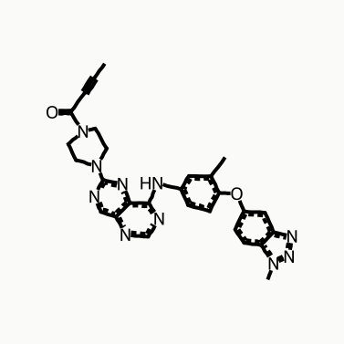 CC#CC(=O)N1CCN(c2ncc3ncnc(Nc4ccc(Oc5ccc6c(c5)nnn6C)c(C)c4)c3n2)CC1